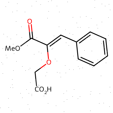 COC(=O)/C(=C/c1ccccc1)OCC(=O)O